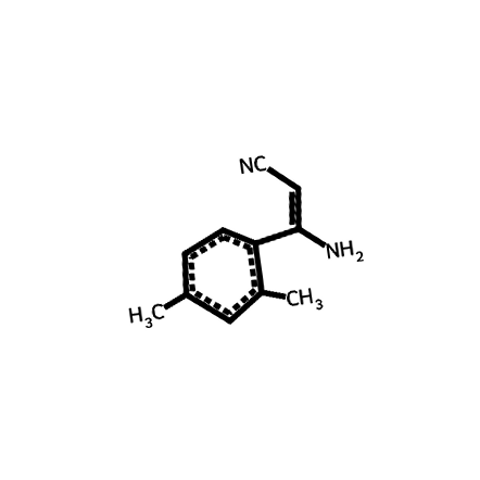 Cc1ccc(/C(N)=C\C#N)c(C)c1